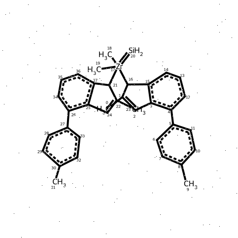 CC1=Cc2c(-c3ccc(C)cc3)cccc2[CH]1[Zr]([CH3])([CH3])(=[SiH2])[CH]1C(C)=Cc2c(-c3ccc(C)cc3)cccc21